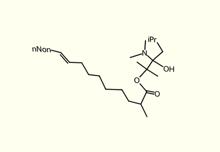 CCCCCCCCCC=CCCCCCCC(C)C(=O)OC(C)(C)C(O)(CC(C)C)N(C)C